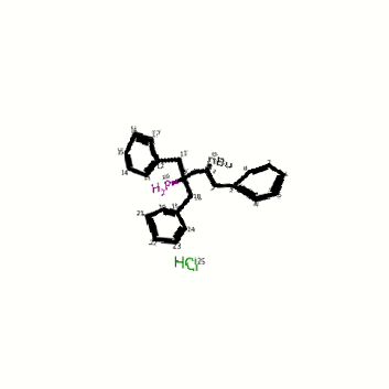 CCCCC(Cc1ccccc1)C(P)(Cc1ccccc1)Cc1ccccc1.Cl